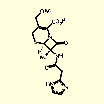 CC(=O)OCC1=C(C(=O)O)N2C(=O)[C@@](NC(=O)Cc3ncc[nH]3)(C(C)=O)[C@H]2SC1